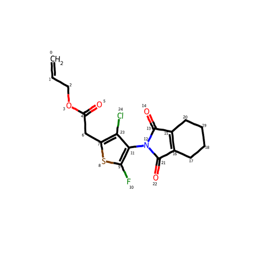 C=CCOC(=O)Cc1sc(F)c(N2C(=O)C3=C(CCCC3)C2=O)c1Cl